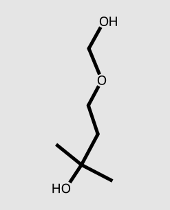 CC(C)(O)CCOCO